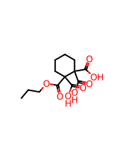 CCCOC(=O)C1(C(=O)O)CCCCC1(C(=O)O)C(=O)O